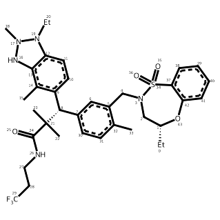 CC[C@@H]1CN(Cc2cc([C@@H](c3ccc4c(c3C)NN(C)N4CC)C(C)(C)C(=O)NCCC(F)(F)F)ccc2C)S(=O)(=O)c2ccccc2O1